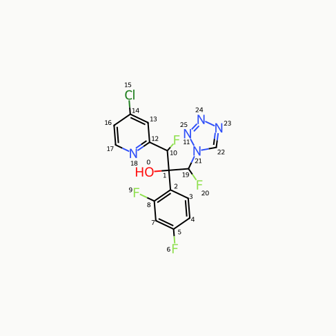 OC(c1ccc(F)cc1F)(C(F)c1cc(Cl)ccn1)C(F)n1cnnn1